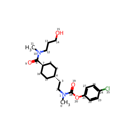 CN(CC[C@H]1CC[C@H](C(=O)N(C)CCCO)CC1)C(=O)Oc1ccc(Cl)cc1